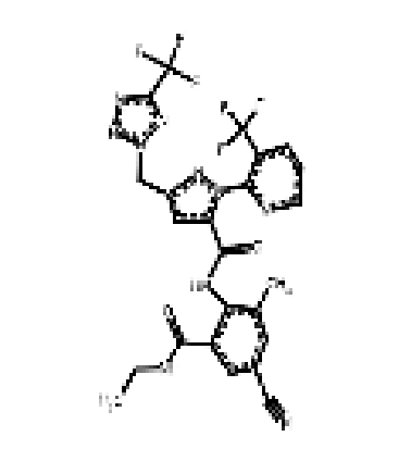 CCNC(=O)c1cc(C#N)cc(C)c1NC(=O)c1cc(Cn2nnc(C(F)(F)F)n2)nn1-c1ncccc1C(F)(F)F